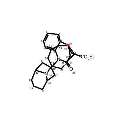 CCOC(=O)c1nc2ccccc2n(C2CC3CCCC(C2)N3C2CCCCCCC2)c1=O